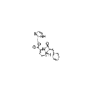 O=C(OCc1ncc[nH]1)C1=CCS[C@H]2C(Sc3ccccc3)C(=O)N12